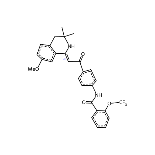 COc1ccc2c(c1)/C(=C/C(=O)c1ccc(NC(=O)c3ccccc3OC(F)(F)F)cc1)NC(C)(C)C2